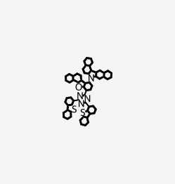 c1ccc2cc3c(cc2c1)c1c2ccccc2ccc1n3-c1ccc(-c2nc(-c3cccc4c3sc3ccccc34)nc(-c3cccc4c3sc3ccccc34)n2)c2oc3c4ccccc4ccc3c12